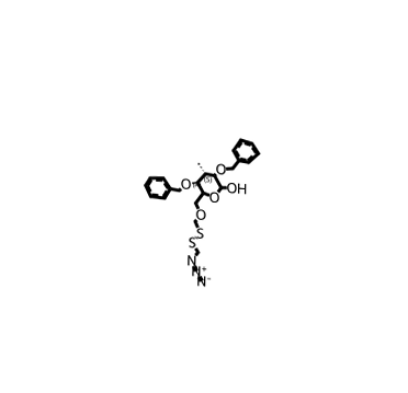 C[C@@H]1C(OCc2ccccc2)C(O)OC(COCSSCN=[N+]=[N-])[C@@H]1OCc1ccccc1